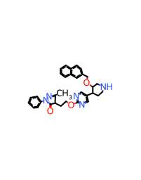 CC1=NN(c2ccccc2)C(=O)C1CCOc1ncc(C2CCNCC2OCc2ccc3ccccc3c2)cn1